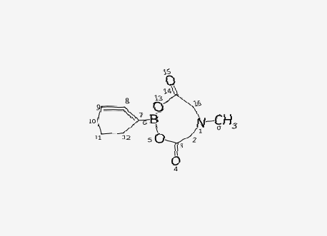 CN1CC(=O)OB(C2=C=CCCC2)OC(=O)C1